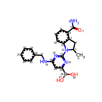 CC1Cc2c(C(N)=O)cccc2N1c1nc(NCc2ccccc2)cc(B(O)O)n1